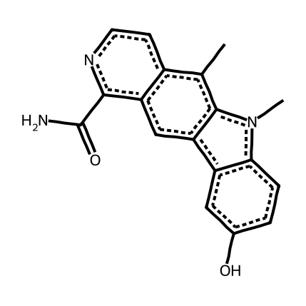 Cc1c2ccnc(C(N)=O)c2cc2c3cc(O)ccc3n(C)c12